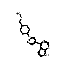 N#CSCC1CCC(n2cc(-c3ncnc4[nH]ccc34)cn2)CC1